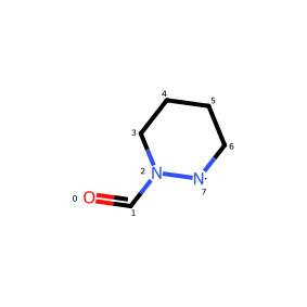 O=CN1CCCC[N]1